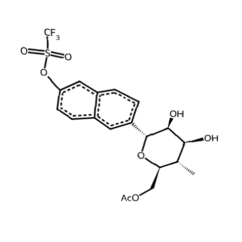 CC(=O)OC[C@H]1O[C@H](c2ccc3cc(OS(=O)(=O)C(F)(F)F)ccc3c2)[C@@H](O)[C@@H](O)[C@@H]1C